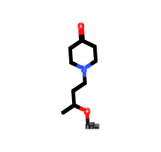 CCCCOC(C)CCN1CCC(=O)CC1